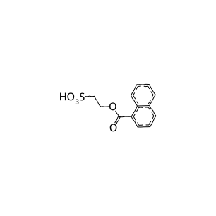 O=C(OCCS(=O)(=O)O)c1cccc2ccccc12